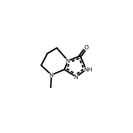 CN1CCCn2c1n[nH]c2=O